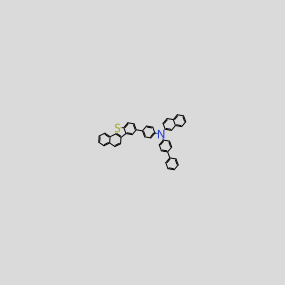 c1ccc(-c2ccc(N(c3ccc(-c4ccc5sc6c7ccccc7ccc6c5c4)cc3)c3ccc4ccccc4c3)cc2)cc1